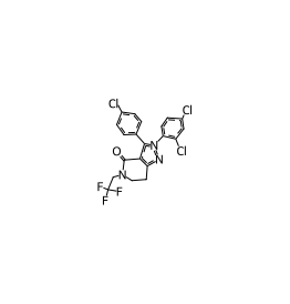 O=C1c2c(nn(-c3ccc(Cl)cc3Cl)c2-c2ccc(Cl)cc2)CCN1CC(F)(F)F